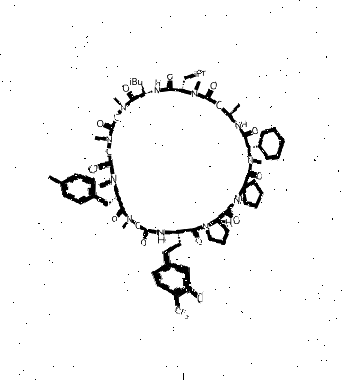 CC[C@H](C)[C@@H]1NC(=O)[C@H](CC(C)C)N(C)C(=O)C[C@@H](C)NC(=O)[C@H](C2CCCCC2)N(C)C(=O)C2(CCCC2)NC(=O)[C@@H]2CCCN2C(=O)[C@H](CCc2ccc(C(F)(F)F)c(Cl)c2)NC(=O)CN(C)C(=O)[C@H](Cc2ccc(C)cc2)N(C)C(=O)CN(C)C(=O)CN(C)C1=O